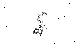 CN(C[C@@H]1C2CN(C(=O)OC(C)(C)C)C[C@H]21)c1ncnc2[nH]ccc12